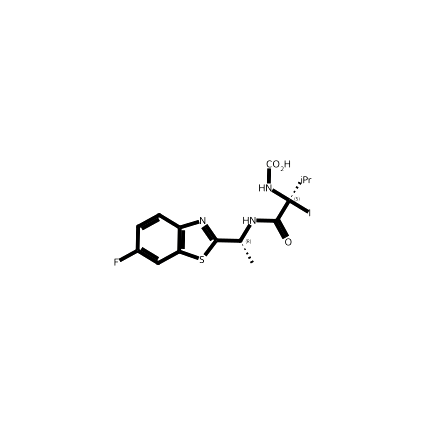 CC(C)[C@@](I)(NC(=O)O)C(=O)N[C@H](C)c1nc2ccc(F)cc2s1